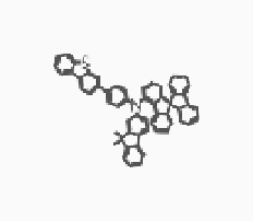 CC1(C)c2ccccc2-c2ccc(N(c3ccc(-c4ccc5c(c4)sc4ccccc45)cc3)c3cccc4c3-c3ccccc3C43c4ccccc4-c4ccccc43)cc21